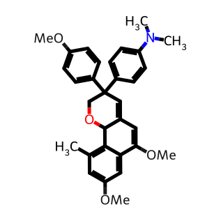 COC1=CC2=CC(c3ccc(OC)cc3)(c3ccc(N(C)C)cc3)COC2c2c(C)cc(OC)cc21